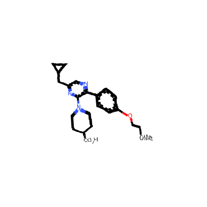 COCCOc1ccc(-c2ncc(CC3CC3)nc2N2CCC(C(=O)O)CC2)cc1